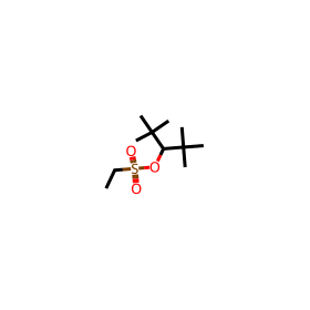 CCS(=O)(=O)OC(C(C)(C)C)C(C)(C)C